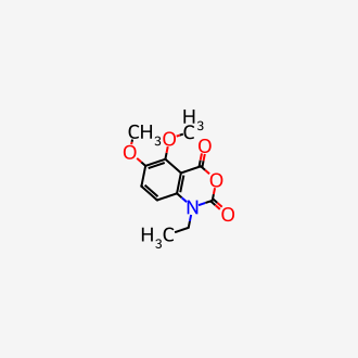 CCn1c(=O)oc(=O)c2c(OC)c(OC)ccc21